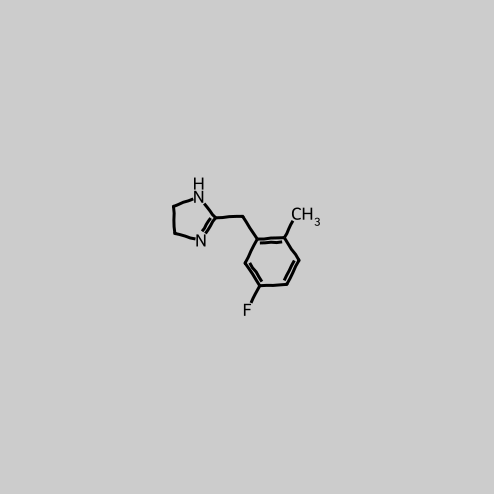 Cc1ccc(F)cc1CC1=NCCN1